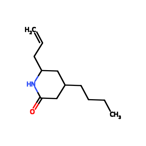 C=CCC1CC(CCCC)CC(=O)N1